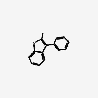 Cc1sc2ccccc2c1-c1ccccc1